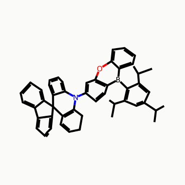 CC(C)c1cc(C(C)C)c(B2c3ccccc3Oc3cc(N4C5=C(C=CCC5)C5(c6ccccc6-c6ccccc65)c5ccccc54)ccc32)c(C(C)C)c1